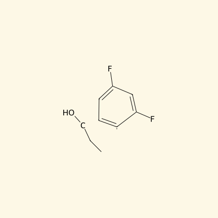 CCCO.Fc1[c]ccc(F)c1